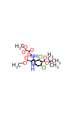 CCOC(=O)c1[nH]c2cc(Cl)c(C(=O)OC(C)(C)C)c(Cl)c2c1NOC(=O)C(=O)OC